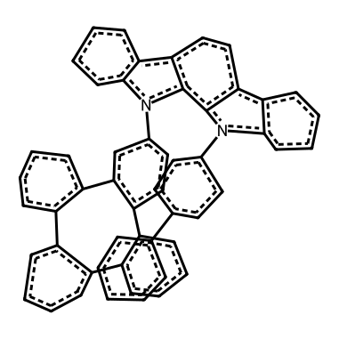 c1ccc(-c2ccc(-n3c4ccccc4c4ccc5c6ccccc6n(-c6ccc7c(c6)-c6ccccc6-c6ccccc6-c6ccccc6-7)c5c43)cc2)cc1